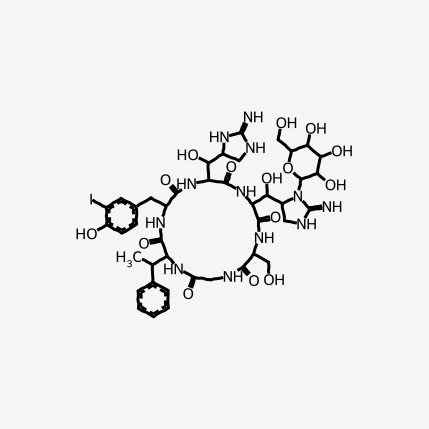 CC(c1ccccc1)C1NC(=O)CNC(=O)C(CO)NC(=O)C(C(O)C2CNC(=N)N2C2OC(CO)C(O)C(O)C2O)NC(=O)C(C(O)C2CNC(=N)N2)NC(=O)C(Cc2ccc(O)c(I)c2)NC1=O